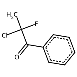 CC(F)(Cl)C(=O)c1ccccc1